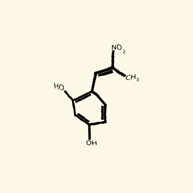 C/C(=C\c1ccc(O)cc1O)[N+](=O)[O-]